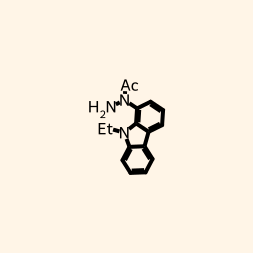 CCn1c2ccccc2c2cccc(N(N)C(C)=O)c21